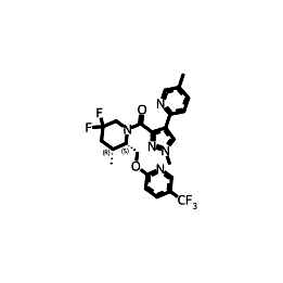 Cc1ccc(-c2cn(C)nc2C(=O)N2CC(F)(F)C[C@@H](C)[C@H]2COc2ccc(C(F)(F)F)cn2)nc1